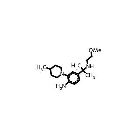 COCCNC(C)(C)c1ccc(N)c(N2CCC(C)CC2)c1